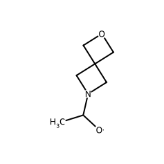 CC([O])N1CC2(COC2)C1